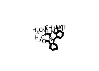 CC(CN1C(=O)c2ccccc2C1c1ccccc1N)N(C)C.Cl.Cl